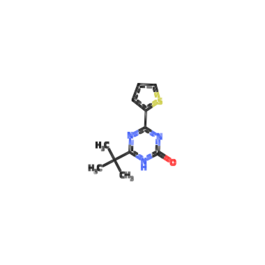 CC(C)(C)c1nc(-c2cccs2)nc(=O)[nH]1